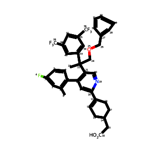 Cc1cc(F)ccc1-c1cc(C2=CCC(CC(=O)O)CC2)ncc1C(C)(COCc1ccccc1)c1cc(C(F)(F)F)cc(C(F)(F)F)c1